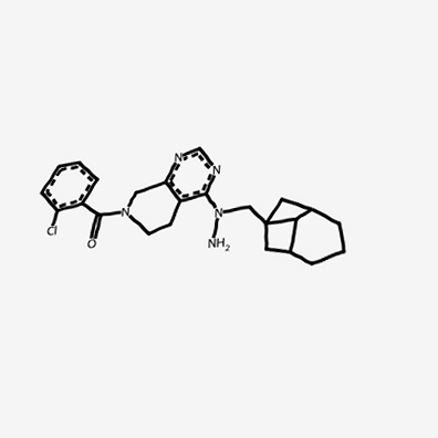 NN(CC12CC3CCCC(C1)C32)c1ncnc2c1CCN(C(=O)c1ccccc1Cl)C2